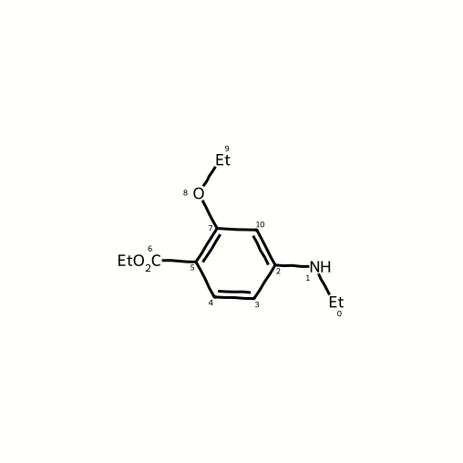 CCNc1ccc(C(=O)OCC)c(OCC)c1